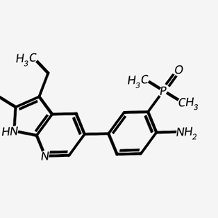 CCc1c(Cl)[nH]c2ncc(-c3ccc(N)c(P(C)(C)=O)c3)cc12